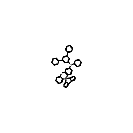 c1ccc(-c2cc(-c3ccccc3)cc(N(c3ccccc3)c3ccc4c(c3)Sc3ccccc3[Si]43c4ccccc4-c4ccccc43)c2)cc1